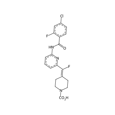 O=C(Nc1cccc(C(F)=C2CCN(C(=O)O)CC2)n1)c1ccc(Cl)cc1F